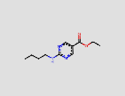 CCCCNc1ncc(C(=O)OCC)cn1